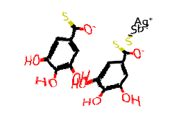 [Ag+].[O-]C(=S)c1cc(O)c(O)c(O)c1.[O-]C(=S)c1cc(O)c(O)c(O)c1.[S]=[Sb+]